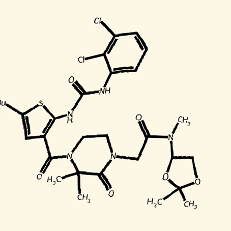 CN(C(=O)CN1CCN(C(=O)c2cc(C(C)(C)C)sc2NC(=O)Nc2cccc(Cl)c2Cl)C(C)(C)C1=O)C1COC(C)(C)O1